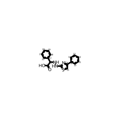 O=C(O)C(NNc1nc(-c2ccccc2)cs1)c1ccccc1